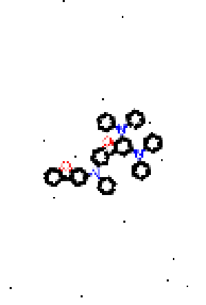 c1ccc(N(c2ccc3c(c2)oc2ccccc23)c2ccc3oc4c(N(c5ccccc5)c5ccccc5)cc(N(c5ccccc5)c5ccccc5)cc4c3c2)cc1